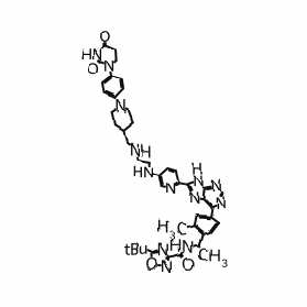 Cc1cc(-c2ncnc3[nH]c(-c4ccc(NCCNCC5CCN(c6ccc(N7CCC(=O)NC7=O)cc6)CC5)cn4)nc23)ccc1[C@@H](C)NC(=O)c1noc(C(C)(C)C)n1